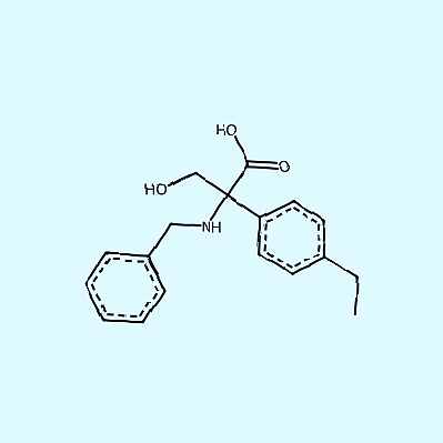 CCc1ccc(C(CO)(NCc2ccccc2)C(=O)O)cc1